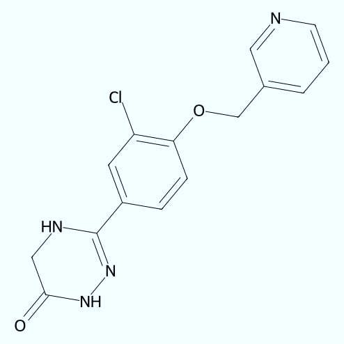 O=C1CNC(c2ccc(OCc3cccnc3)c(Cl)c2)=NN1